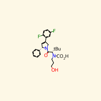 CC(C)(C)[C@@H](C(=O)N1CC(c2cc(F)ccc2F)=C[C@H]1c1ccccc1)N(CCCO)C(=O)O